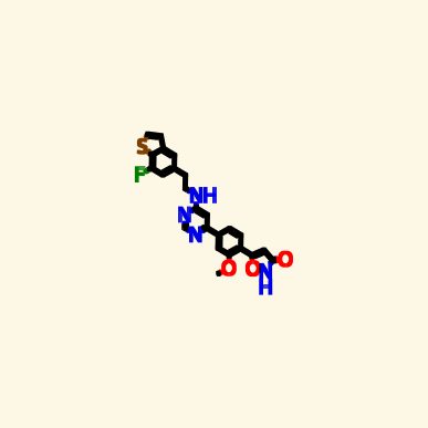 COc1cc(-c2cc(NCCc3cc(F)c4sccc4c3)ncn2)ccc1-c1cc(=O)[nH]o1